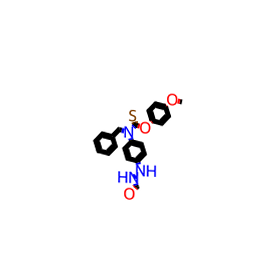 COc1ccc(OC(=S)N(Cc2ccccc2)c2ccc(NNC=O)cc2)cc1